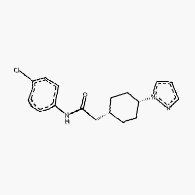 O=C(C[C@H]1CC[C@@H](n2cccn2)CC1)Nc1ccc(Cl)cc1